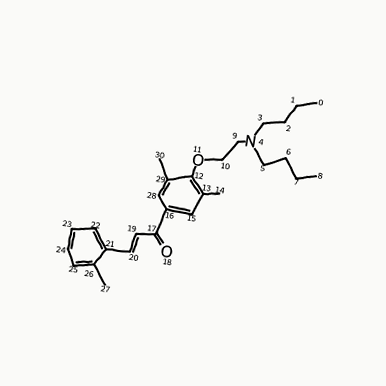 CCCCN(CCCC)CCOc1c(C)cc(C(=O)C=Cc2ccccc2C)cc1C